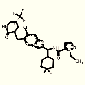 CCn1nccc1C(=O)NC(c1cn2nc(CC3C[C@@H](C(F)(F)F)CNC3=O)c(Cl)cc2n1)C1CCC(F)(F)CC1